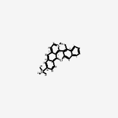 Cc1c2c(cc3ccccc13)Oc1c3ccc([Si](C)(C)C)cc3cc3cc[n+](C)c-2c13